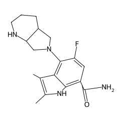 Cc1[nH]c2c(C(N)=O)cc(F)c(N3CC4CCCNC4C3)c2c1C